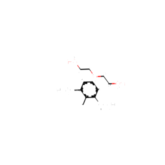 Cc1c(C(=O)O)cccc1C(=O)O.OCCOCCO